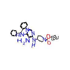 CC(C)(C)OC(=O)N1CCC(Nc2ncnc(NC(c3ccccc3)c3ccccc3)c2N)CC1